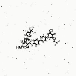 CC(C)COc1cc(-c2cnc(-c3ccc(C[C@H](NC(=O)c4ccc(C(C)(C)C)s4)C(=O)N[C@H](C)C(O)O)cc3)nc2)cc(Cl)c1F